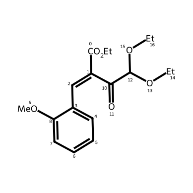 CCOC(=O)C(=Cc1ccccc1OC)C(=O)C(OCC)OCC